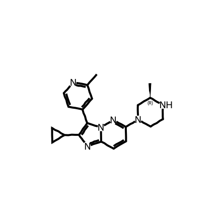 Cc1cc(-c2c(C3CC3)nc3ccc(N4CCN[C@H](C)C4)nn23)ccn1